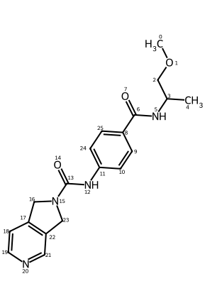 COCC(C)NC(=O)c1ccc(NC(=O)N2Cc3ccncc3C2)cc1